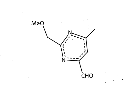 COCc1nc(C)cc(C=O)n1